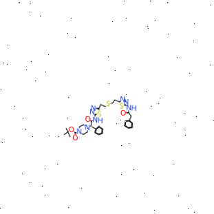 CC(C)(C)OC(=O)N1CCN(C(C(=O)Nc2nnc(CCSCCc3nnc(NC(=O)Cc4ccccc4)s3)s2)c2ccccc2)CC1